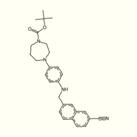 CC(C)(C)OC(=O)N1CCCN(c2ccc(NCc3ccc4ccc(C#N)cc4c3)cc2)CC1